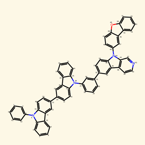 c1ccc(-n2c3ccccc3c3cc(-c4ccc5c(c4)c4ccccc4n5-c4cccc(-c5ccc6c(c5)c5ccncc5n6-c5ccc6oc7ccccc7c6c5)c4)ccc32)cc1